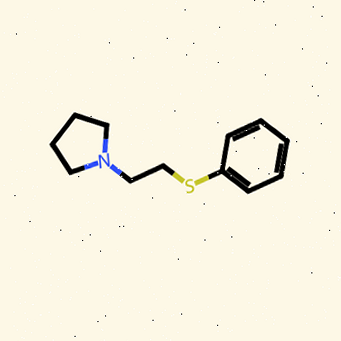 c1ccc(SCCN2CCCC2)cc1